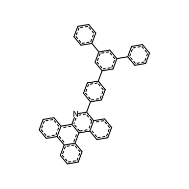 c1ccc(-c2cc(-c3ccccc3)cc(-c3ccc(-c4nc5c6ccccc6c6ccccc6c5c5ccccc45)cc3)c2)cc1